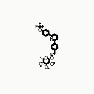 CO[C@@H]1[C@@H](OC)[C@H](C)O[C@@H](O/N=C/c2ccc(-c3cccc(-c4ccc(OC(F)(F)F)cc4)n3)cc2)[C@@H]1OC